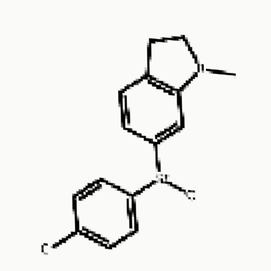 CB1CCc2ccc([S+]([O-])c3ccc(Cl)cc3)cc21